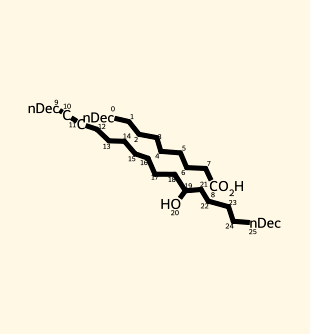 CCCCCCCCCCCCCCCCCC(=O)O.CCCCCCCCCCCCCCCCCCCC(O)CCCCCCCCCCCCCC